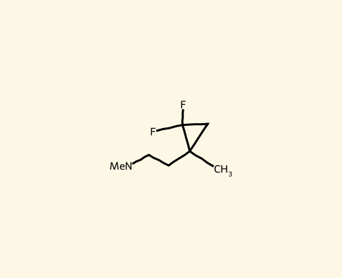 CNCCC1(C)CC1(F)F